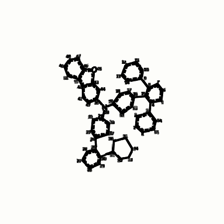 c1ccc(-c2cccc(-c3ccccc3)c2-c2ccc(N(c3ccc(-c4ccccc4C4CCCCC4)cc3)c3ccc4c(c3)oc3ccccc34)cc2)cc1